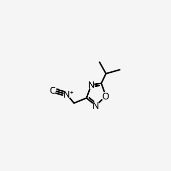 [C-]#[N+]Cc1noc(C(C)C)n1